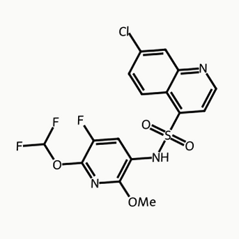 COc1nc(OC(F)F)c(F)cc1NS(=O)(=O)c1ccnc2cc(Cl)ccc12